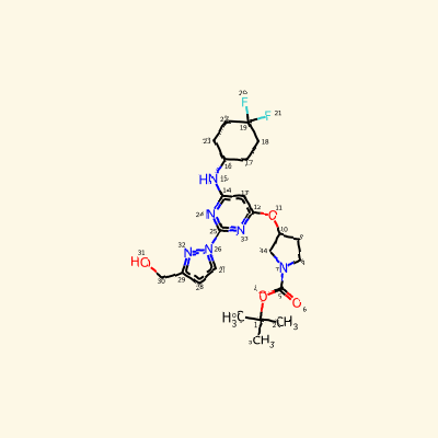 CC(C)(C)OC(=O)N1CCC(Oc2cc(NC3CCC(F)(F)CC3)nc(-n3ccc(CO)n3)n2)C1